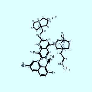 C#Cc1c(F)ccc2cc(O)cc(-c3ncc4c(N5C[C@@H]6CC[C@](CCOC)(C5)N6)nc(OC[C@@]56CCCN5C[C@H](F)C6)nc4c3F)c12